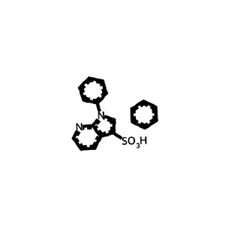 O=S(=O)(O)c1cn(-c2ccccc2)c2ncccc12.c1ccccc1